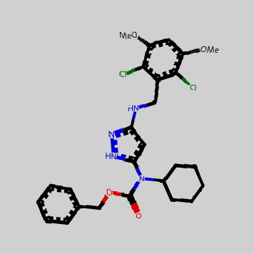 COc1cc(OC)c(Cl)c(CNc2cc(N(C(=O)OCc3ccccc3)C3CCCCC3)[nH]n2)c1Cl